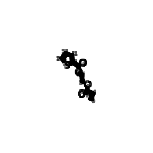 C=CC(=O)OCCOC(=O)c1cccs1